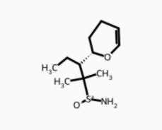 CCC([C@@H]1CCC=CO1)C(C)(C)[S+](N)[O-]